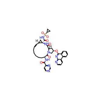 O=C(N[C@H]1CCCCC/C=C\[C@@H]2C[C@@]2(C(=O)NS(=O)(=O)C2CC2)NC(=O)[C@@H]2C[C@@H](Oc3nc4ncccc4c4ccccc34)CN2C1=O)c1ccncn1